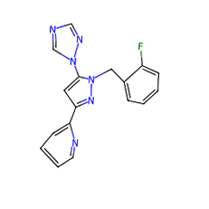 Fc1ccccc1Cn1nc(-c2ccccn2)cc1-n1cncn1